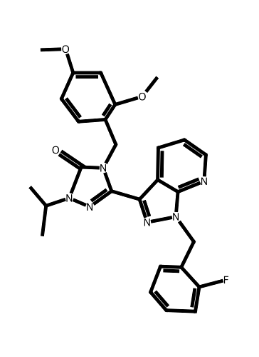 COc1ccc(Cn2c(-c3nn(Cc4ccccc4F)c4ncccc34)nn(C(C)C)c2=O)c(OC)c1